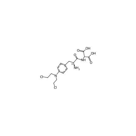 N[C@@H](Cc1ccc(N(CCCl)CCCl)cc1)C(=O)NC(C(=O)O)C(=O)O